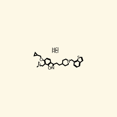 CN(C)Cc1c(OCC2CC2)ccc2c(CCC3CCN(Cc4cccc5ccsc45)CC3)noc12.Cl.Cl